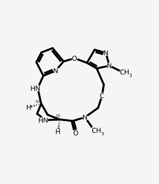 CN1CCCc2c(cnn2C)Oc2cccc(n2)N[C@@H]2CN[C@@H](C2)C1=O